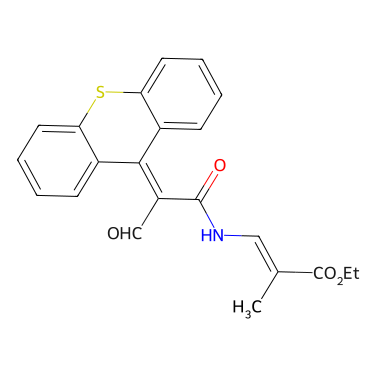 CCOC(=O)C(C)=CNC(=O)C(C=O)=C1c2ccccc2Sc2ccccc21